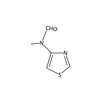 CN([C]=O)c1cscn1